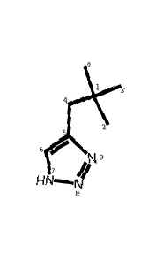 CC(C)(C)Cc1c[nH]nn1